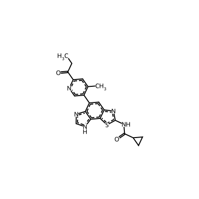 CCC(=O)c1cc(C)c(-c2cc3nc(NC(=O)C4CC4)sc3c3[nH]cnc23)cn1